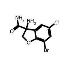 NC(=O)C1(N)COc2c(Br)cc(Cl)cc21